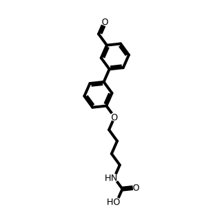 O=Cc1cccc(-c2cccc(OCCCCNC(=O)O)c2)c1